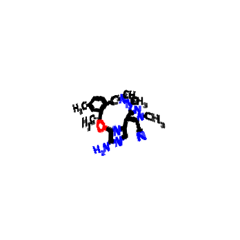 Cc1ccc2c(c1)[C@@H](C)Oc1nc(cnc1N)-c1c(nn(C)c1C#N)N(C)N(C)C2